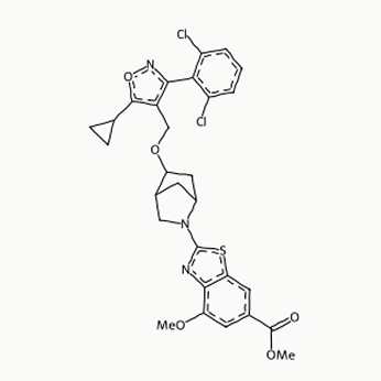 COC(=O)c1cc(OC)c2nc(N3CC4CC3CC4OCc3c(-c4c(Cl)cccc4Cl)noc3C3CC3)sc2c1